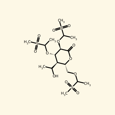 CC(O)[C@H]1[C@H](OC(C)S(C)(=O)=O)[C@@H](OC(C)S(C)(=O)=O)C(=O)O[C@@H]1COC(C)S(C)(=O)=O